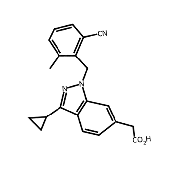 Cc1cccc(C#N)c1Cn1nc(C2CC2)c2ccc(CC(=O)O)cc21